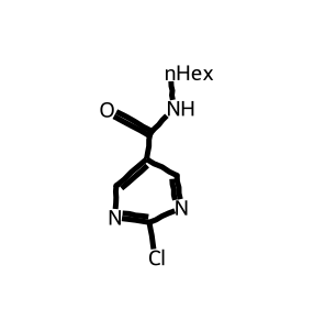 CCCCCCNC(=O)c1cnc(Cl)nc1